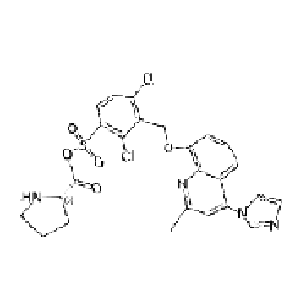 Cc1cc(-n2ccnc2)c2cccc(OCc3c(Cl)ccc(S(=O)(=O)OC(=O)[C@@H]4CCCN4)c3Cl)c2n1